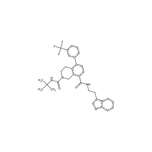 CC(C)(C)NC(=O)N1CCc2c(-c3cccc(C(F)(F)F)c3)ccc(C(=O)NCCc3cnc4ccccn34)c2C1